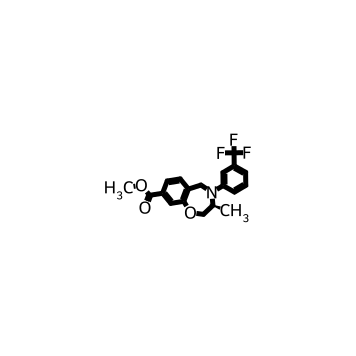 COC(=O)c1ccc2c(c1)OC[C@H](C)N(c1cccc(C(F)(F)F)c1)C2